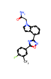 NC(=O)Cn1ccc2c(-c3noc(-c4ccc(F)c(C(F)(F)F)c4)n3)cccc21